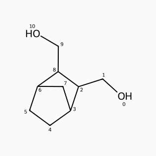 OCC1C2CCC(C2)C1CO